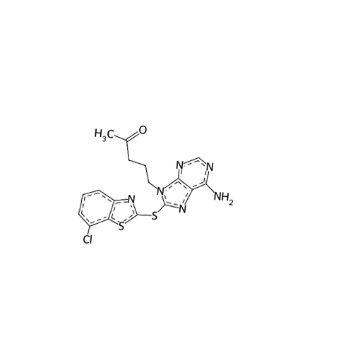 CC(=O)CCCn1c(Sc2nc3cccc(Cl)c3s2)nc2c(N)ncnc21